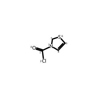 O=C(Cl)N1C=CSC1